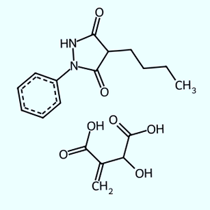 C=C(C(=O)O)C(O)C(=O)O.CCCCC1C(=O)NN(c2ccccc2)C1=O